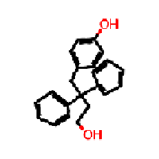 OCCC(Cc1ccc(O)cc1)(c1ccccc1)c1ccccc1